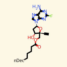 C#C[C@]1(COC(=O)CCCCCCCCCCCCCC)O[C@@H](n2cnc3c(N)nc(F)nc32)C[C@@H]1O